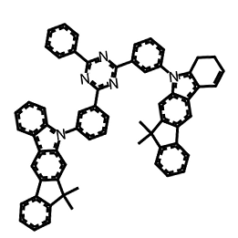 CC1(C)c2ccccc2-c2cc3c4c(n(-c5cccc(-c6nc(-c7ccccc7)nc(-c7cccc(-n8c9ccccc9c9cc%10c(cc98)C(C)(C)c8ccccc8-%10)c7)n6)c5)c3cc21)CCC=C4